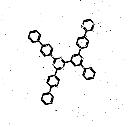 c1ccc(-c2ccc(-c3nc(-c4ccc(-c5ccccc5)cc4)nc(-c4cc(-c5ccccc5)cc(-c5ccc(-c6cnccn6)cc5)c4)n3)cc2)cc1